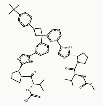 COC(=O)N[C@H](C(=O)N1CCC[C@H]1c1ncc(-c2cccc(C3(c4cccc(-c5cnc([C@@H]6CCCN6C(=O)[C@@H](NC(=O)O)C(C)C)[nH]5)c4)CN(c4ccc(C(C)(C)C)cc4)C3)c2)[nH]1)C(C)C